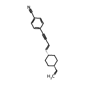 C=C[C@H]1CC[C@H](/C=C/C#Cc2ccc(C#N)cc2)CC1